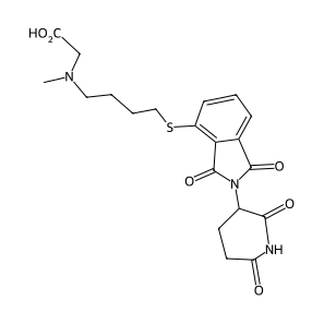 CN(CCCCSc1cccc2c1C(=O)N(C1CCC(=O)NC1=O)C2=O)CC(=O)O